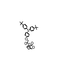 CC(C)(C)c1ccc([S+](c2ccc(OCC(=O)OC3C4CC5C(=O)OC3C5C4)cc2)c2ccc(C(C)(C)C)cc2)cc1